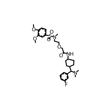 COc1ccc(S(=O)(=O)N(C)CCOCC(=O)NC2CCC(C(c3cccc(F)c3)N(C)C)CC2)cc1OC